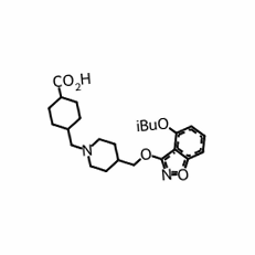 CC(C)COc1cccc2onc(OCC3CCN(CC4CCC(C(=O)O)CC4)CC3)c12